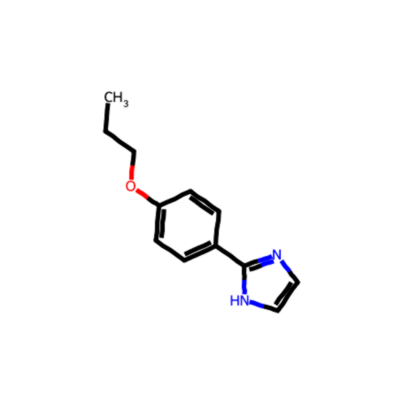 CCCOc1ccc(-c2ncc[nH]2)cc1